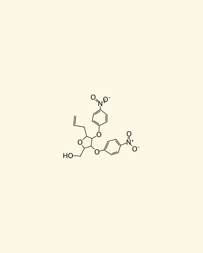 C=CCC1OC(CO)C(Oc2ccc([N+](=O)[O-])cc2)C1Oc1ccc([N+](=O)[O-])cc1